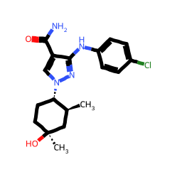 C[C@H]1C[C@@](C)(O)CC[C@@H]1n1cc(C(N)=O)c(Nc2ccc(Cl)cc2)n1